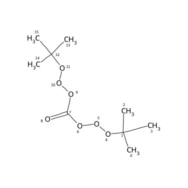 CC(C)(C)OOOC(=O)OOOC(C)(C)C